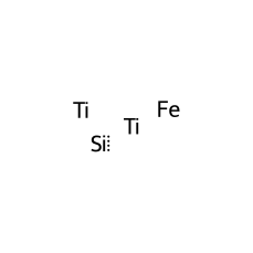 [Fe].[Si].[Ti].[Ti]